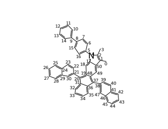 Cc1c(C)n(-c2ccc(-c3ccccc3)cc2)c2cc3c(-c4ccc5ccccc5c4)c4ccccc4c(-c4ccc5ccccc5c4)c3cc12